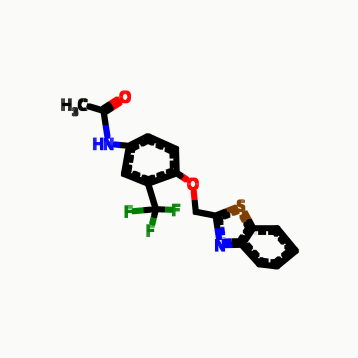 CC(=O)Nc1ccc(OCc2nc3ccccc3s2)c(C(F)(F)F)c1